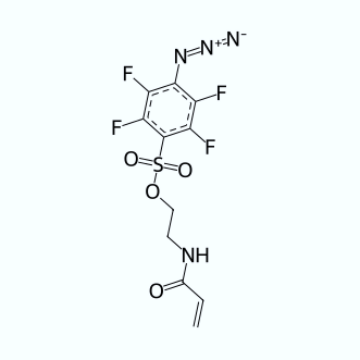 C=CC(=O)NCCOS(=O)(=O)c1c(F)c(F)c(N=[N+]=[N-])c(F)c1F